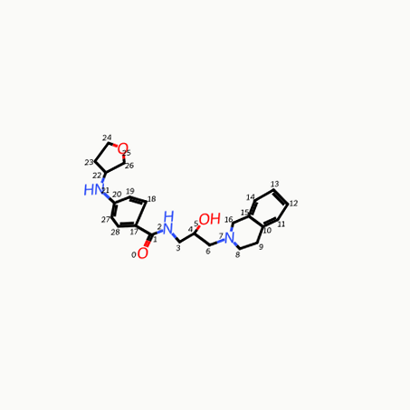 O=C(NCC(O)CN1CCc2ccccc2C1)c1ccc(NC2CCOC2)cc1